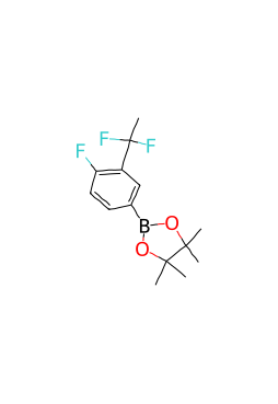 CC(F)(F)c1cc(B2OC(C)(C)C(C)(C)O2)ccc1F